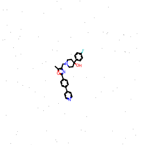 Cc1oc(-c2ccc(-c3ccncc3)cc2)nc1CN1CCC(O)(c2ccc(F)cc2)CC1